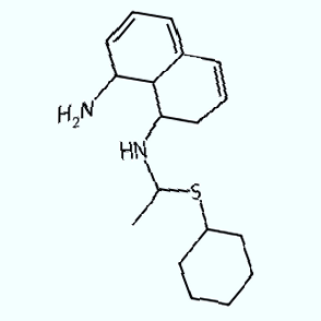 CC(NC1CC=CC2=CC=CC(N)C21)SC1CCCCC1